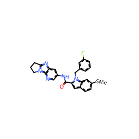 CSc1ccc2cc(C(=O)Nc3cnc4c(c3)nc3n4CCC3)n(Cc3cccc(F)c3)c2c1